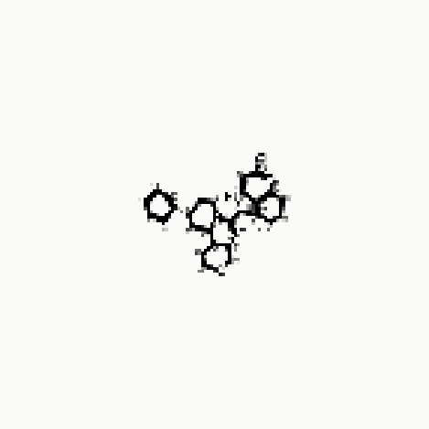 CC[C@@H](C(=O)N1CC[C@@H](c2ccccc2)CC1C1CCOCC1)[C@]1(CC)CCCc2nc(Cl)ccc21